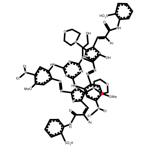 CCN(CC)c1cc(Nc2nc(Nc3cc(N(CC)CC)c(OC)cc3/N=N/c3nc(N4CCOCC4)c(/C=C(\C(C)=O)C(=O)Nc4ccccc4S(=O)(=O)O)s3)nc(N(CCO)CCO)n2)c(/N=N/c2nc(N3CCOCC3)c(/C=C(/C(C)=O)C(=O)Nc3ccccc3S(=O)(=O)O)s2)cc1OC